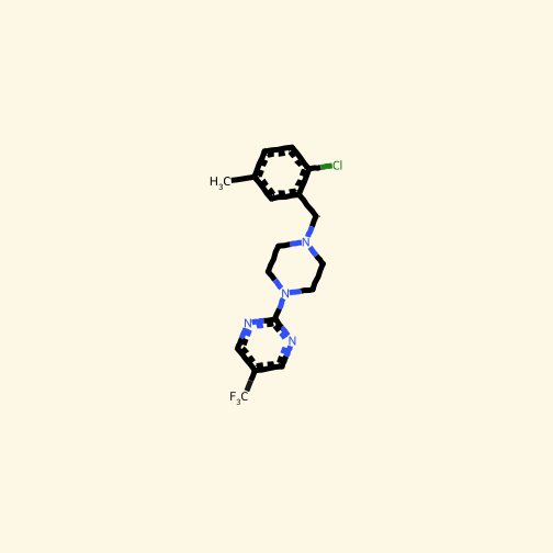 Cc1ccc(Cl)c([CH]N2CCN(c3ncc(C(F)(F)F)cn3)CC2)c1